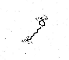 CC(C)C1(O)CCN(CCCCCCCC(C)(C)C)CC1